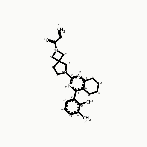 C=CC(=O)N1CC2(CCN(c3nc4c(c(-c5cccc(C)c5Cl)n3)CCCC4)C2)C1